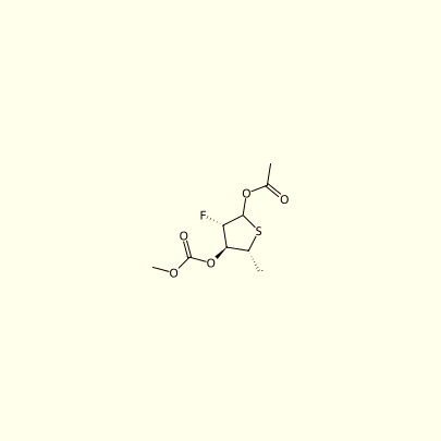 [CH2][C@H]1SC(OC(C)=O)[C@@H](F)[C@@H]1OC(=O)OC